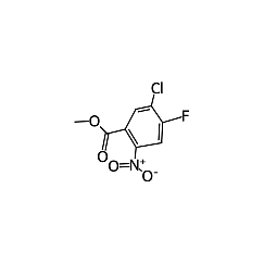 COC(=O)c1cc(Cl)c(F)cc1[N+](=O)[O-]